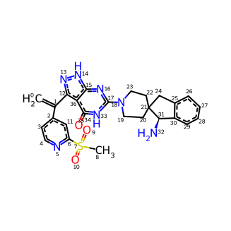 C=C(c1ccnc(S(C)(=O)=O)c1)c1n[nH]c2nc(N3CCC4(CC3)Cc3ccccc3[C@H]4N)[nH]c(=O)c12